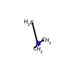 CCCCCCCCCCCCCCCCCCCC1N(CCCC)C=CN1CCCCC